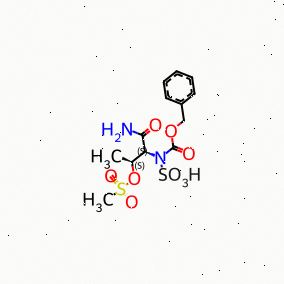 C[C@H](OS(C)(=O)=O)[C@@H](C(N)=O)N(C(=O)OCc1ccccc1)S(=O)(=O)O